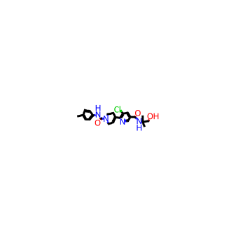 Cc1ccc(NC(=O)N2CC=C(c3ncc(C(=O)NC(C)(C)CO)cc3Cl)CC2)cc1